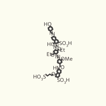 CCOc1cc(N=Nc2c(S(=O)(=O)O)cc3cc(/N=N/c4ccc(O)cc4)ccc3c2O)c(OCC)cc1N=Nc1ccc(C(=O)Nc2ccc3cc(S(=O)(=O)O)cc(OCCCCS(=O)(=O)O)c3c2)cc1OC